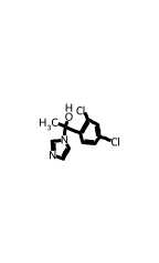 CC(O)(c1ccc(Cl)cc1Cl)n1ccnc1